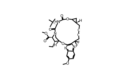 CC[C@@H]1[C@@H]2CN(C(=O)[C@H](C(C)(C)C)NC(=O)OC3C[C@@H]3CCCCC(F)(F)c3nc4ccc(OC)cc4nc3O2)[C@@H]1C(=O)OC